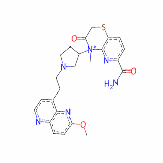 COc1ccc2nccc(CCN3CCC([N+]4(C)C(=O)CSc5ccc(C(N)=O)nc54)C3)c2n1